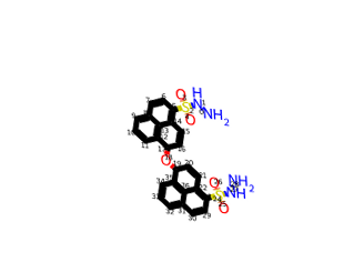 NNS(=O)(=O)c1ccc2cccc3c2c1C=CC3OC1C=Cc2c(S(=O)(=O)NN)ccc3cccc1c23